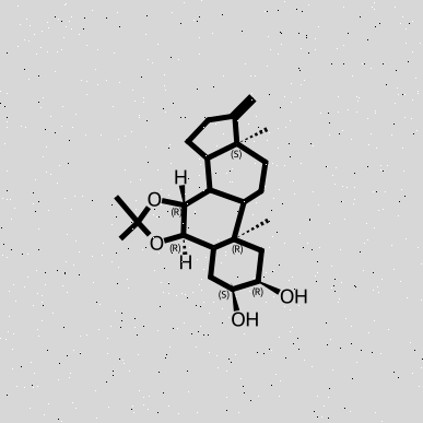 C=C1CCC2C3C(CC[C@]12C)[C@@]1(C)C[C@@H](O)[C@@H](O)CC1[C@H]1OC(C)(C)O[C@H]31